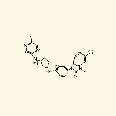 Cc1cnc(N[C@H]2CC[C@H](Nc3ccc(-n4c(=O)n(C)c5cc(C#N)ccc54)cn3)C2)nn1